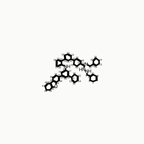 C1=CCCC(CNNC(NCC2=CCCC=C2)C2C=CC(C3C=CC=C(c4ccccc4Nc4cc(-c5ccc6c7c(oc6c5)CCC=C7)cc(C5C=CC=CC5)c4)C3)CC2)=C1